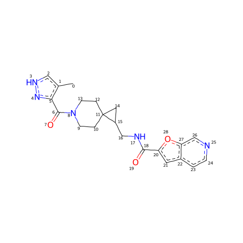 Cc1c[nH]nc1C(=O)N1CCC2(CC1)CC2CNC(=O)c1cc2ccncc2o1